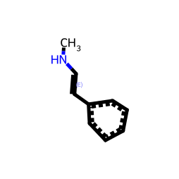 CN/C=C/c1ccccc1